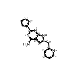 Nc1nc(-c2ccsn2)nc2nn(Cc3ccccn3)cc12